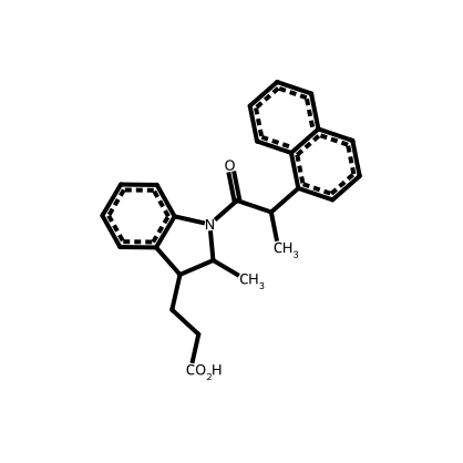 CC(C(=O)N1c2ccccc2C(CCC(=O)O)C1C)c1cccc2ccccc12